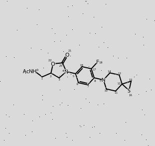 CC(=O)NCC1CN(c2ccc(N3CCC4(CC3)CS4)c(F)c2)C(=O)O1